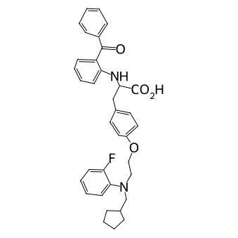 O=C(c1ccccc1)c1ccccc1NC(Cc1ccc(OCCN(CC2CCCC2)c2ccccc2F)cc1)C(=O)O